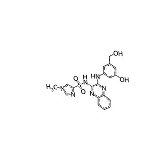 Cn1cnc(S(=O)(=O)Nc2nc3ccccc3nc2Nc2cc(O)cc(CO)c2)c1